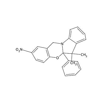 CC1(C)c2ccccc2N2Cc3cc([N+](=O)[O-])ccc3OC21c1ccccc1